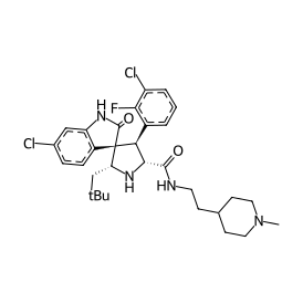 CN1CCC(CCNC(=O)[C@@H]2N[C@H](CC(C)(C)C)[C@]3(C(=O)Nc4cc(Cl)ccc43)[C@H]2c2cccc(Cl)c2F)CC1